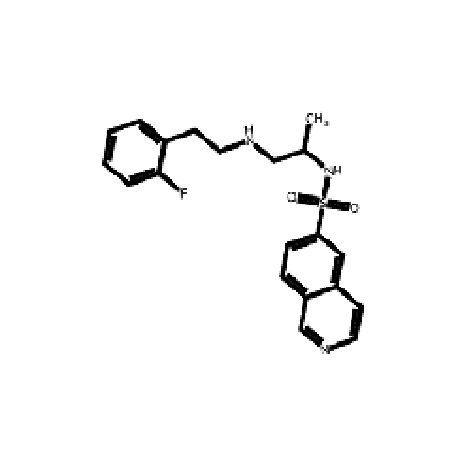 CC(CNCCc1ccccc1F)NS(=O)(=O)c1ccc2cnccc2c1